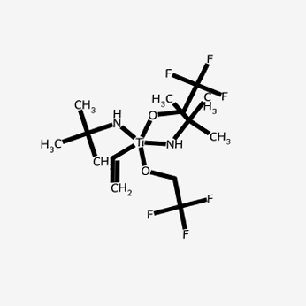 C=[CH][Ti]([NH]C(C)(C)C)([NH]C(C)(C)C)([O]CC(F)(F)F)[O]CC(F)(F)F